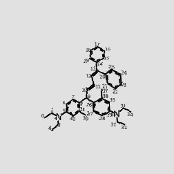 CCN(CC)c1ccc(C(C=CC=C(c2ccccc2)c2ccccc2)c2ccc(N(CC)CC)cc2C)c(C)c1